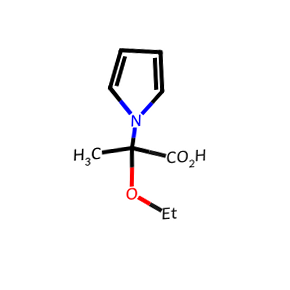 CCOC(C)(C(=O)O)n1cccc1